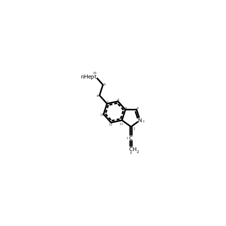 C=C=C1N=Cc2cc(CCCCCCCCC)ccc21